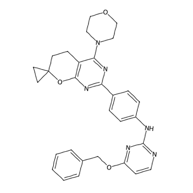 c1ccc(COc2ccnc(Nc3ccc(-c4nc5c(c(N6CCOCC6)n4)CCC4(CC4)O5)cc3)n2)cc1